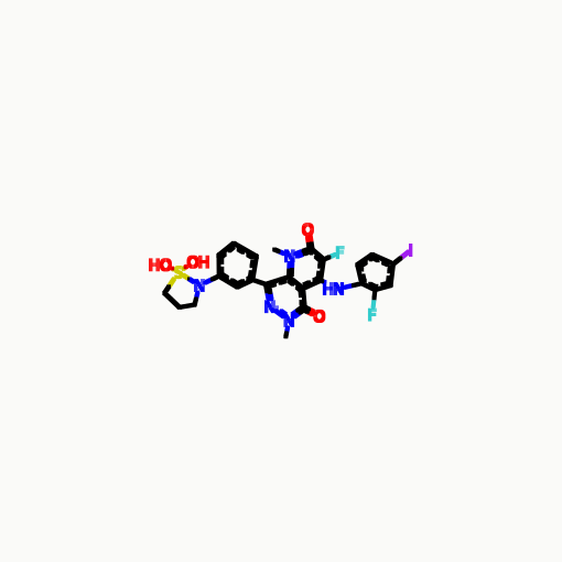 Cn1nc(-c2cccc(N3CCCS3(O)O)c2)c2c(c(Nc3ccc(I)cc3F)c(F)c(=O)n2C)c1=O